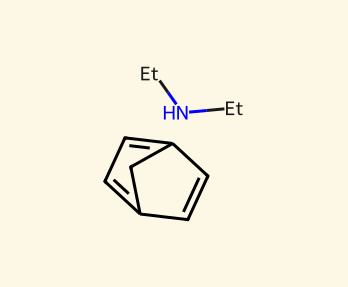 C1=CC2=CC=C1C2.CCNCC